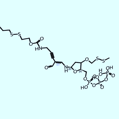 CSSCOC1C[C@H](N/C=C(/C#CCNC(=O)OCCSSCCN)C=O)O[C@@H]1COP(=O)(O)OP(=O)(O)OP(=O)(O)O